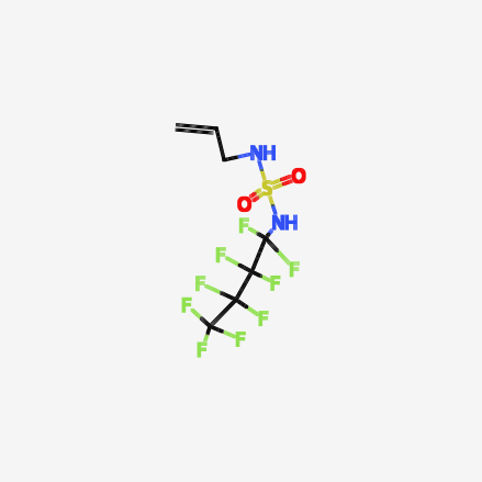 C=CCNS(=O)(=O)NC(F)(F)C(F)(F)C(F)(F)C(F)(F)F